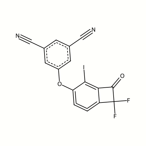 N#Cc1cc(C#N)cc(OC2=C=C=C3C(=C2I)C(=O)C3(F)F)c1